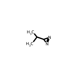 CC(C)C1N=N1